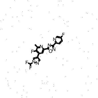 Cc1nc(-c2nc(-c3ccc(F)cn3)no2)cc(-c2cnn(C(F)F)c2)c1F